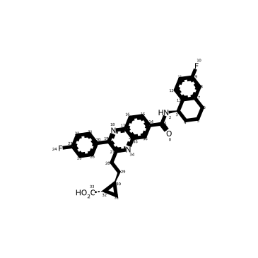 O=C(N[C@@H]1CCCc2cc(F)ccc21)c1ccc2nc(-c3ccc(F)cc3)c(CC[C@H]3C[C@@H]3C(=O)O)nc2c1